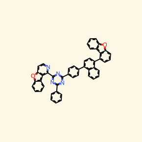 c1ccc(-c2nc(-c3ccc(-c4ccc(-c5cccc6oc7ccccc7c56)c5ccccc45)cc3)nc(-c3nccc4oc5ccccc5c34)n2)cc1